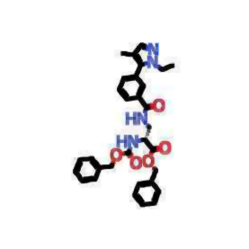 CCn1ncc(C)c1-c1cccc(C(=O)NC[C@@H](NC(=O)OCc2ccccc2)C(=O)OCc2ccccc2)c1